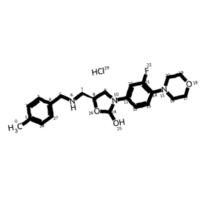 Cc1ccc(CNC[C@H]2CN(c3ccc(N4CCOCC4)c(F)c3)C(O)O2)cc1.Cl